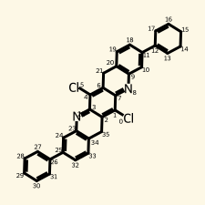 Clc1c2c(c(Cl)c3c1=Nc1cc(C4=CCCC=C4)ccc1C3)=Nc1cc(-c3ccccc3)ccc1C2